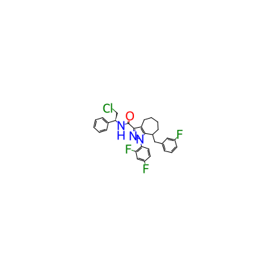 O=C(N[C@H](CCl)c1ccccc1)c1nn(-c2ccc(F)cc2F)c2c1CCCCC2Cc1cccc(F)c1